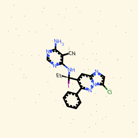 CC[C@@](I)(Nc1ncnc(N)c1C#N)c1cc2ncc(Cl)n2nc1-c1ccccc1